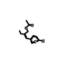 CCC(=Cc1ccc(Cl)cc1)COC(C)=O